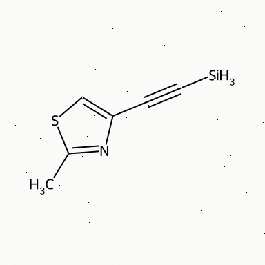 Cc1nc(C#C[SiH3])cs1